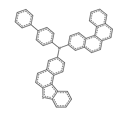 c1ccc(-c2ccc(N(c3ccc4c(ccc5ccc6ccccc6c54)c3)c3ccc4c(ccc5sc6ccccc6c54)c3)cc2)cc1